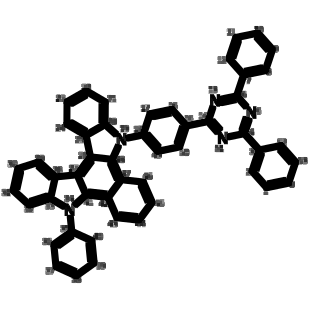 c1ccc(-c2nc(-c3ccccc3)nc(-c3ccc(-n4c5ccccc5c5c6c7ccccc7n(-c7ccccc7)c6c6ccccc6c54)cc3)n2)cc1